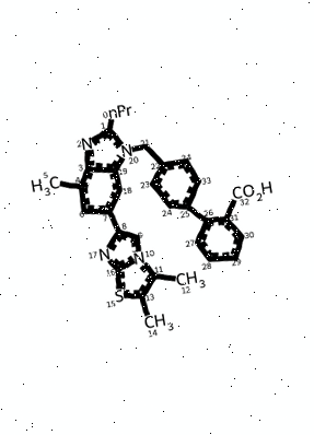 CCCc1nc2c(C)cc(-c3cn4c(C)c(C)sc4n3)cc2n1Cc1ccc(-c2ccccc2C(=O)O)cc1